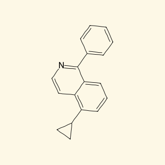 c1ccc(-c2nccc3c(C4CC4)cccc23)cc1